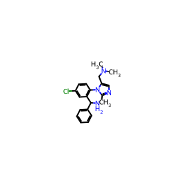 Cc1ncc(CN(C)C)n1-c1ccc(Cl)cc1C(N)c1ccccc1